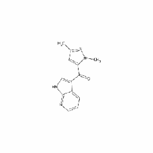 Cc1cc(C(=O)c2c[nH]c3ncccc23)n(C)n1